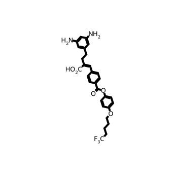 Nc1cc(N)cc(CCC(=Cc2ccc(C(=O)Oc3ccc(OCCCCC(F)(F)F)cc3)cc2)C(=O)O)c1